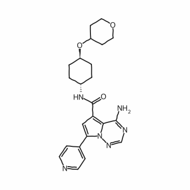 Nc1ncnn2c(-c3ccncc3)cc(C(=O)N[C@H]3CC[C@H](OC4CCOCC4)CC3)c12